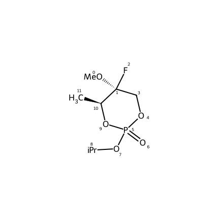 CO[C@]1(F)COP(=O)(OC(C)C)O[C@H]1C